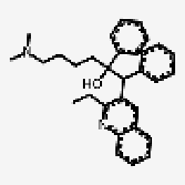 CCc1nc2ccccc2cc1C(c1ccccc1)C(O)(CCCCN(C)C)c1ccccc1